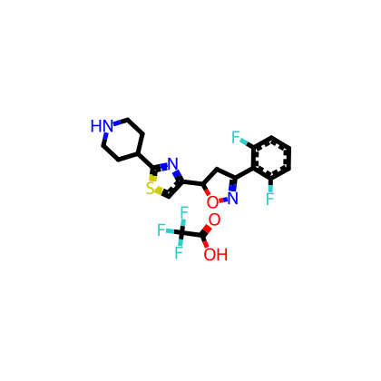 Fc1cccc(F)c1C1=NOC(c2csc(C3CCNCC3)n2)C1.O=C(O)C(F)(F)F